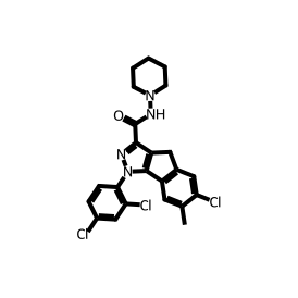 Cc1cc2c(cc1Cl)Cc1c(C(=O)NN3CCCCC3)nn(-c3ccc(Cl)cc3Cl)c1-2